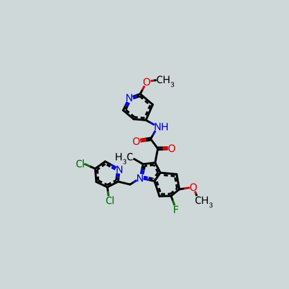 COc1cc(NC(=O)C(=O)c2c(C)n(Cc3ncc(Cl)cc3Cl)c3cc(F)c(OC)cc23)ccn1